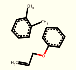 C=CCOc1ccccc1.Cc1ccccc1C